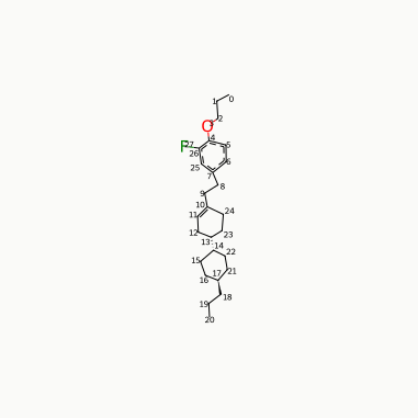 CCCOc1ccc(CCC2=CCC([C@H]3CC[C@H](CCC)CC3)CC2)cc1F